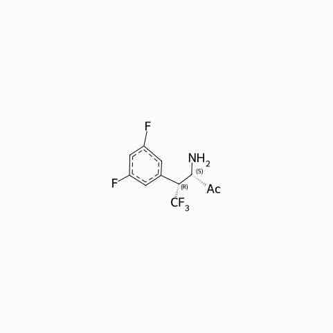 CC(=O)[C@@H](N)[C@@H](c1cc(F)cc(F)c1)C(F)(F)F